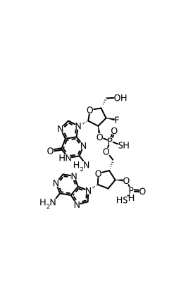 Nc1nc2c(ncn2[C@@H]2O[C@H](CO)[C@@H](F)[C@H]2OP(=O)(S)OC[C@H]2O[C@@H](n3cnc4c(N)ncnc43)C[C@@H]2O[PH](=O)S)c(=O)[nH]1